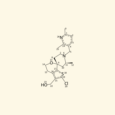 Cc1ccc(CN2CC[C@]3(C[C@@H]2C)OCCc2c3sc(Cl)c2CO)c(C)n1